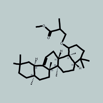 COC(=O)C(C)COC1CCC(C)(C)[C@@H]2CC[C@]3(C)[C@H](CC=C4[C@@H]5CC(C)(C)CC[C@]5(C)CC[C@]43C)[C@@]12C